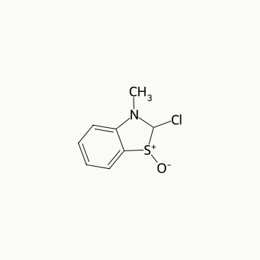 CN1c2ccccc2[S+]([O-])C1Cl